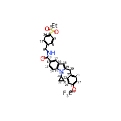 CCS(=O)(=O)c1ccc(CNC(=O)c2ccc3c(c2)cc(Cc2ccc(OC(F)(F)F)cc2)n3C2CC2)cc1